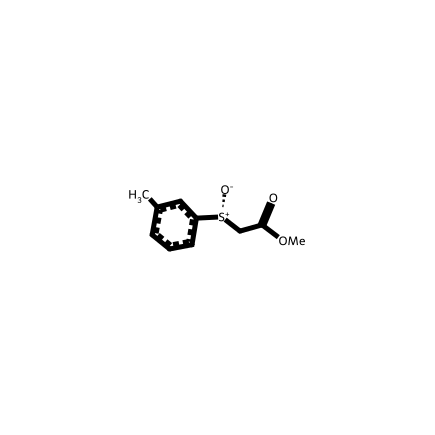 COC(=O)C[S@@+]([O-])c1cccc(C)c1